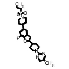 CCCS(=O)(=O)N1CC=C(c2cc(F)c3c(c2)CC(C2CCN(c4ncc(C)cn4)CC2)O3)CC1